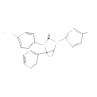 Cc1ccc(N2C(=O)N(c3ccc(Br)cc3)C3OC32c2ccccc2)cc1